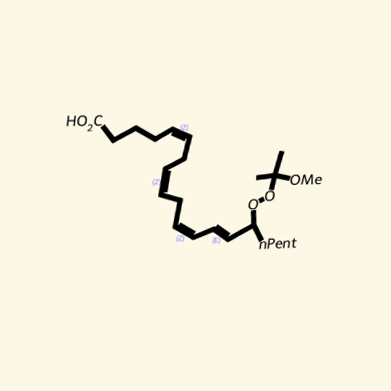 CCCCCC(/C=C/C=C\C/C=C\C/C=C\CCCC(=O)O)OOC(C)(C)OC